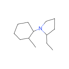 CCC1CCCN1C1CCCCC1C